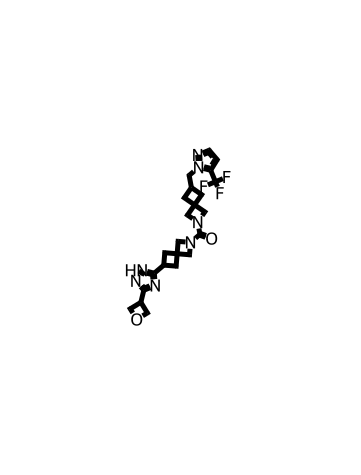 O=C(N1CC2(CC(Cn3nccc3C(F)(F)F)C2)C1)N1CC2(CC(c3nc(C4COC4)n[nH]3)C2)C1